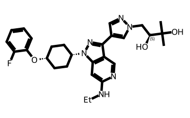 CCNc1cc2c(cn1)c(-c1cnn(C[C@H](O)C(C)(C)O)c1)nn2[C@H]1CC[C@@H](Oc2ccccc2F)CC1